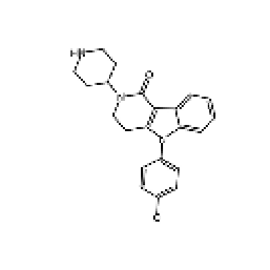 O=C1c2c(n(-c3ccc(Cl)cc3)c3ccccc23)CCN1C1CCNCC1